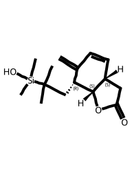 C=C1C=C[C@@H]2CC(=O)O[C@@H]2[C@@H]1CC(C)(C)[Si](C)(C)O